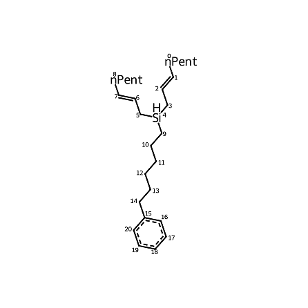 CCCCCC=CC[SiH](CC=CCCCCC)CCCCCCc1ccccc1